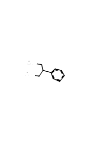 CC(=O)CC(CC(C)=O)c1ccccc1